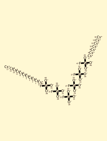 [Cs+].[Cs+].[Cs+].[Cs+].[Cs+].[Cs+].[Cs+].[Cs+].[Cs+].[Cs+].[Cs+].[Cs+].[Cs+].[Cs+].[Cs+].[Cs+].[Cs+].[Cs+].[O-][Si]([O-])([O-])F.[O-][Si]([O-])([O-])F.[O-][Si]([O-])([O-])F.[O-][Si]([O-])([O-])F.[O-][Si]([O-])([O-])F.[O-][Si]([O-])([O-])F